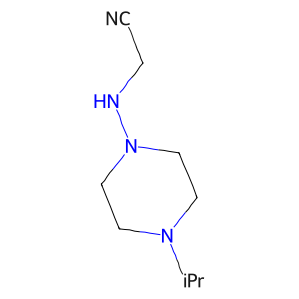 CC(C)N1CCN(NCC#N)CC1